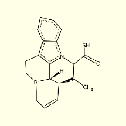 CC[C@]12C=CCN3CCc4c(n(c5ccccc45)C(C(=O)S)C1)[C@@H]32